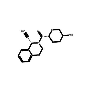 C#C[C@H]1c2ccccc2CCN1C(=O)[C@H]1CC[C@H](O)CO1